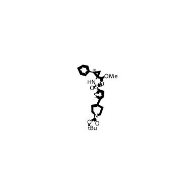 COC(=O)[C@]1(NS(=O)(=O)c2ccc(C3=CCN(C(=O)OC(C)(C)C)CC3)s2)C[C@@H]1c1ccccc1